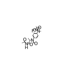 CC(=O)N[C@H]1OC(=O)N(c2ccc(N(C)S(C)(=O)=O)c(F)c2)C1C